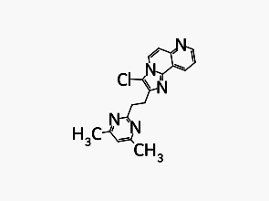 Cc1cc(C)nc(CCc2nc3c4cccnc4ccn3c2Cl)n1